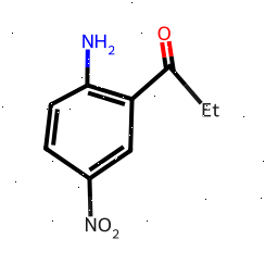 CCC(=O)c1cc([N+](=O)[O-])ccc1N